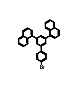 Brc1ccc(-c2cc(-c3cccc4ccccc34)cc(-c3cccc4ccccc34)c2)cc1